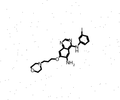 Nc1cc2c(Nc3cccc(I)c3)ncnc2cc1OCCCN1CCOCC1